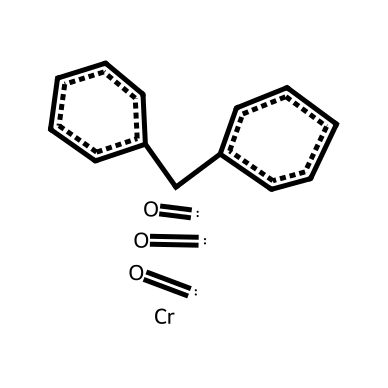 [C]=O.[C]=O.[C]=O.[Cr].c1ccc(Cc2ccccc2)cc1